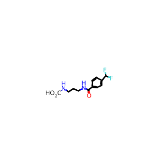 O=C(O)NCCCNC(=O)c1ccc(C(F)F)cc1